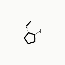 CC[C@H]1CCC[C@H]1I